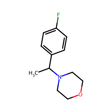 CC(c1ccc(F)cc1)N1CCOCC1